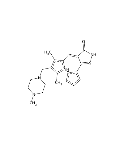 Cc1[nH]c(/C=C2/C(=O)NN=C2c2ccco2)c(C)c1CN1CCN(C)CC1